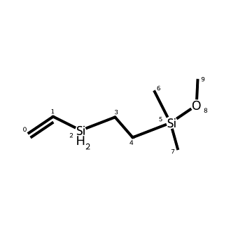 C=C[SiH2]CC[Si](C)(C)OC